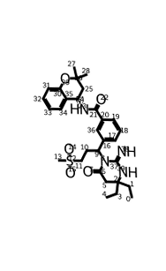 CCC1(CC)CC(=O)N(C(CCS(C)(=O)=O)c2cccc(C(=O)N[C@H]3CC(C)(C)Oc4ccccc43)c2)C(=N)N1